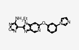 CCn1c(-c2nonc2N)nc2cnc(Oc3cccc(-n4ccnc4)c3)cc21